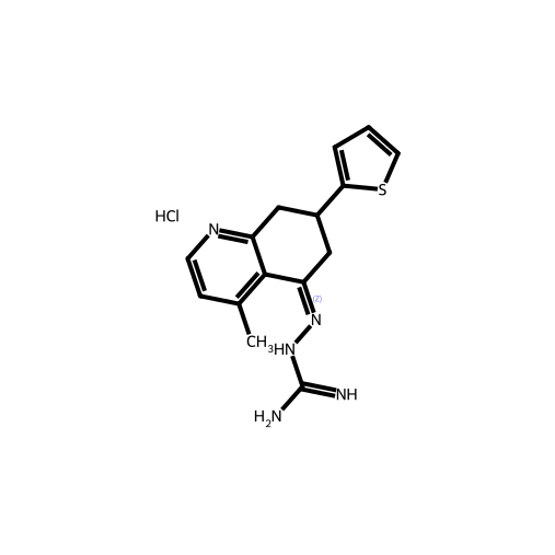 Cc1ccnc2c1/C(=N\NC(=N)N)CC(c1cccs1)C2.Cl